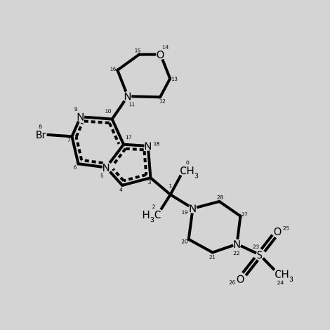 CC(C)(c1cn2cc(Br)nc(N3CCOCC3)c2n1)N1CCN(S(C)(=O)=O)CC1